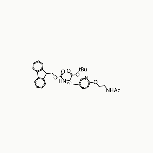 CC(=O)NCCOc1ccc(C[C@H](NC(=O)OCC2c3ccccc3-c3ccccc32)C(=O)OC(C)(C)C)cn1